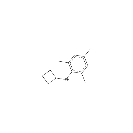 Cc1cc(C)c(PC2CCC2)c(C)c1